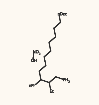 CCCCCCCCCCCCCCCCCCC(CCC)C(CC)CP.O=[N+]([O-])O